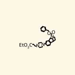 CCOC(=O)CCN1CCN(c2ccc3c(c2)C2CC3CCN2C(=O)OCc2ccccc2)CC1